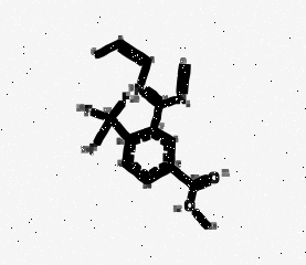 C=N/C(=N\C=C/C)c1cc(C(=O)OC)ccc1C(F)(F)F